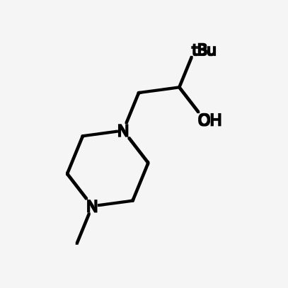 CN1CCN(CC(O)C(C)(C)C)CC1